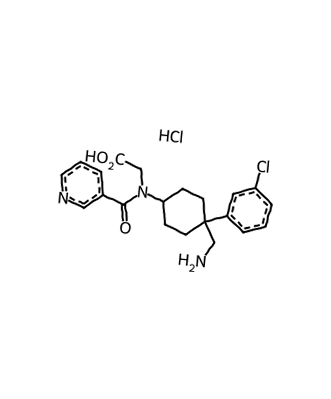 Cl.NCC1(c2cccc(Cl)c2)CCC(N(CC(=O)O)C(=O)c2cccnc2)CC1